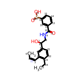 C/C=C\c1cc(C(O)CNC(=O)c2cccc(S(=O)O)c2)ccc1CC